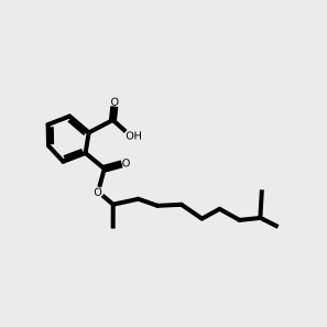 CC(C)CCCCCCC(C)OC(=O)c1ccccc1C(=O)O